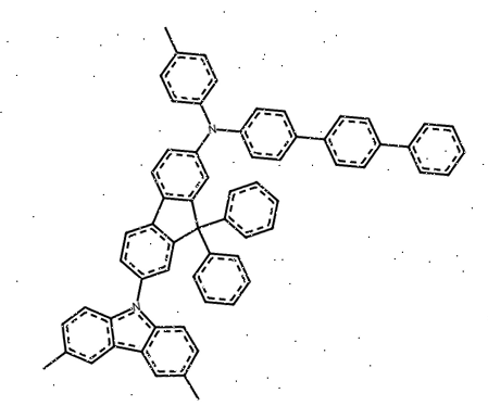 Cc1ccc(N(c2ccc(-c3ccc(-c4ccccc4)cc3)cc2)c2ccc3c(c2)C(c2ccccc2)(c2ccccc2)c2cc(-n4c5ccc(C)cc5c5cc(C)ccc54)ccc2-3)cc1